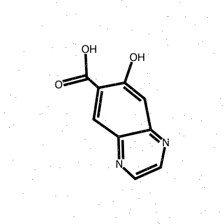 O=C(O)c1cc2nccnc2cc1O